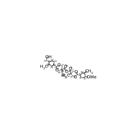 COc1ccc(C2OCC(C)(C(=O)OC(=O)C3(C)COC(c4ccc(CO)c(C)c4)OC3)CO2)cc1C